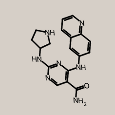 NC(=O)c1cnc(NC2CCNC2)nc1Nc1ccc2ncccc2c1